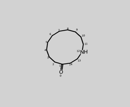 O=C1CCCCCCCCCCNCC1